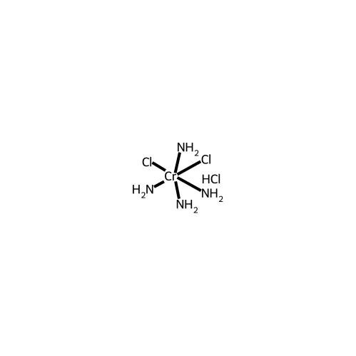 Cl.[NH2][Cr]([NH2])([NH2])([NH2])([Cl])[Cl]